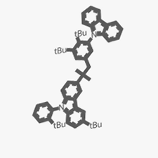 CC(C)(C)c1ccc2c(c1)c1cc(C(C)(C)Cc3cc(-n4c5ccccc5c5ccccc54)c(C(C)(C)C)c(C(C)(C)C)c3)ccc1n2-c1ccccc1C(C)(C)C